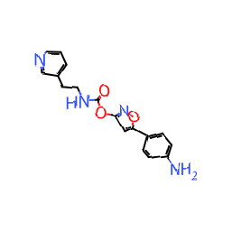 Nc1ccc(-c2cc(OC(=O)NCCc3cccnc3)no2)cc1